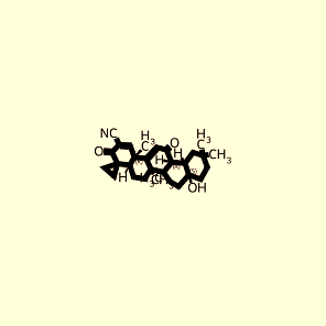 CC1(C)CC[C@]2(O)CC[C@]3(C)[C@H](C(=O)C=C4[C@@]5(C)C=C(C#N)C(=O)C6(CC6)[C@@H]5CC[C@]43C)[C@@H]2C1